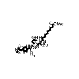 COC(=O)CCCCCCCCC(=O)NC(C(=O)N1C[C@H](O)C[C@H]1C(=O)NC(C)c1ccc(-c2scnc2C)cc1)C(C)(C)C